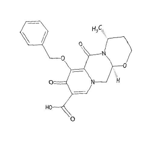 C[C@@H]1CCO[C@H]2Cn3cc(C(=O)O)c(=O)c(OCc4ccccc4)c3C(=O)N12